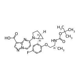 C[C@H](COc1ccc(F)cc1[C@@]12C[C@@H]1CCN2c1ccn2ncc(C(=O)O)c2n1)NC(=O)OC(C)(C)C